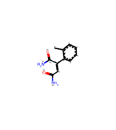 Cc1ccccc1C(=CC(N)=O)C(N)=O